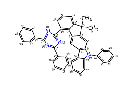 CC1(C)c2cc3c(cc2-c2c(-c4nc(-c5ccccc5)nc(-c5ccccc5)n4)cccc21)c1ccccc1n3-c1ccccc1